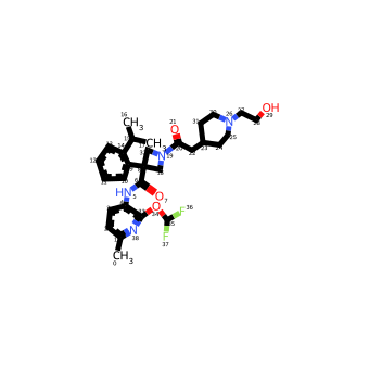 Cc1ccc(NC(=O)C2(c3ccccc3C(C)C)CN(C(=O)CC3CCN(CCO)CC3)C2)c(OC(F)F)n1